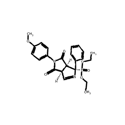 CCOP(=O)(OCC)[C@]1(c2ccccc2)N=C[C@H]2C(=O)N(c3ccc(OC)cc3)C(=O)[C@H]21